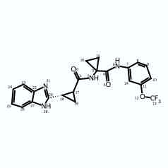 O=C(NC1(C(=O)Nc2cccc(OC(F)(F)F)c2)CC1)C1C[C@@H]1c1nc2ccccc2[nH]1